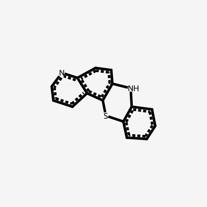 c1ccc2c(c1)Nc1ccc3ncccc3c1S2